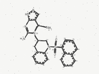 NC1=Nc2[nH]ncc2C(N)N1C1Cc2ccccc2N(S(=O)(=O)c2cccc3ccccc23)C1